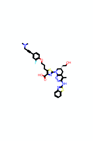 Cc1c(Nc2nc3ccccc3s2)nnc2c1C[C@@H](CCO)CN2c1nc(C(=O)O)c(CCCOc2ccc(C#CCN(C)C)cc2F)s1